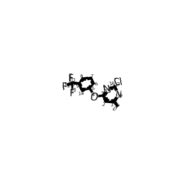 Cc1cc(Oc2cccc(C(F)(F)F)c2)nc(Cl)n1